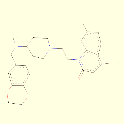 BN(Cc1ccc2c(c1)OCCO2)C1CCN(CCn2c(=O)cc(C=O)c3ccc(OC)cc32)CC1